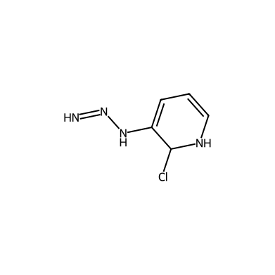 N=NNC1=CC=CNC1Cl